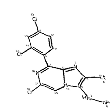 CCCNc1c(CC)nc2c(-c3ccc(Cl)cc3Cl)nc(Cl)cn12